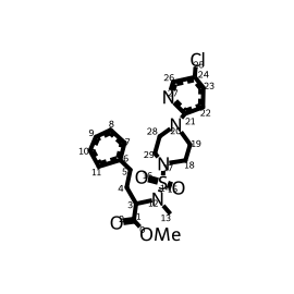 COC(=O)C(CCc1ccccc1)N(C)S(=O)(=O)N1CCN(c2ccc(Cl)cn2)CC1